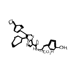 O=C(N[C@@H](Cc1ccc(O)cc1)C(=O)O)c1cnn2c(C3CCCCC3)c(-c3ccc(Cl)cc3)cnc12